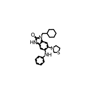 O=c1[nH]c2cc(Nc3ccccc3)c(N3CCSC3)cc2n1CC1CCCCC1